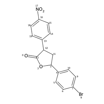 O=C1OC(c2ccc(Br)cc2)CC1c1ccc([N+](=O)[O-])cc1